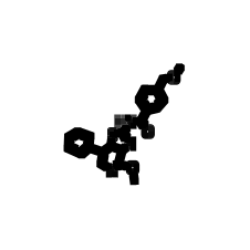 COCc1ccc(C(=O)NC2=NC3C(OC)=NC=C(c4ccccc4)C3S2)cc1